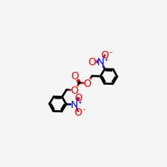 O=C(OCc1ccccc1[N+](=O)[O-])OCc1ccccc1[N+](=O)[O-]